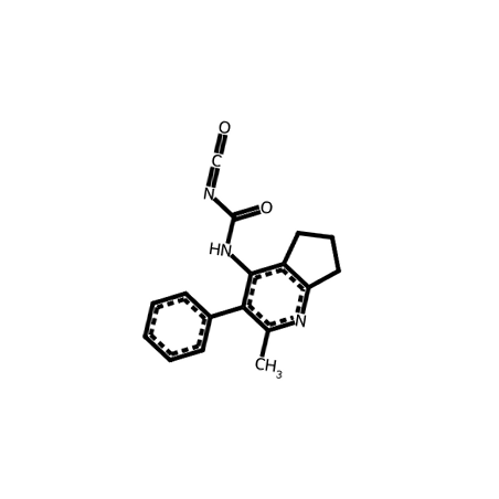 Cc1nc2c(c(NC(=O)N=C=O)c1-c1ccccc1)CCC2